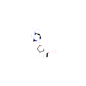 C=C(O)[C@H]1O[C@@H](n2ccc(N)nc2=O)C[C@@H]1O